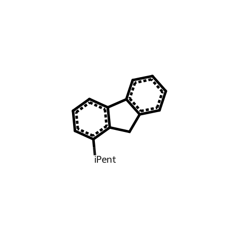 [CH2]C(CCC)c1cccc2c1Cc1ccccc1-2